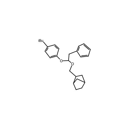 CCC(C)c1ccc(OC(Cc2ccccc2)OCC2CC3CCC2C3)cc1